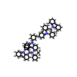 Cc1cccc2c3cccc(C)c3n(B3c4ccccc4-n4c5ccc(-c6cccc(-n7c8ccccc8c8c9c(ccc87)C(C)(C)c7ccccc7N9B7c8ccccc8-n8c9ccccc9c9cccc7c98)c6)cc5c5cccc3c54)c12